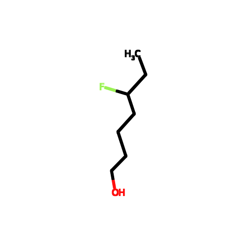 CCC(F)CCCCO